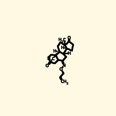 C=CCO/N=C1/C[C@@H]2[C@H](CC[C@]3(C)C(=O)CC[C@@H]23)[C@@]2(C)CCC(=O)CC12